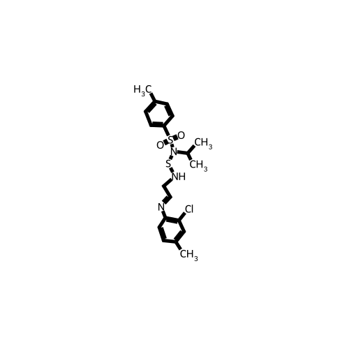 Cc1ccc(S(=O)(=O)N(SNCC=Nc2ccc(C)cc2Cl)C(C)C)cc1